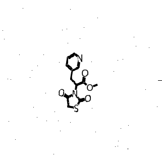 COC(=O)C(Cc1cccnc1)N1C(=O)CSC1=O